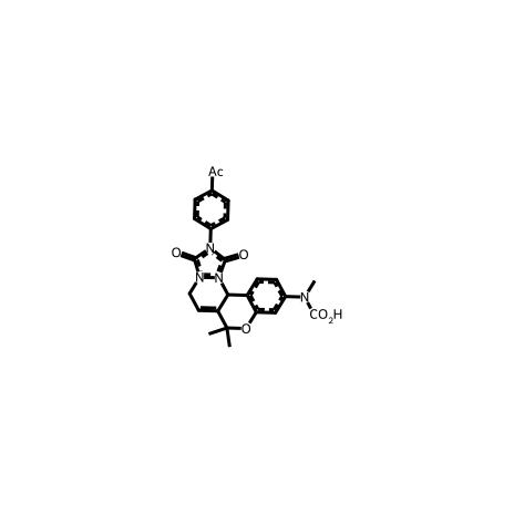 CC(=O)c1ccc(-n2c(=O)n3n(c2=O)C2C(=CC3)C(C)(C)Oc3cc(N(C)C(=O)O)ccc32)cc1